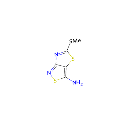 CSc1nc2nsc(N)c2s1